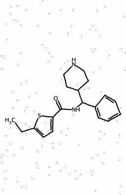 CCc1ccc(C(=O)NC(c2ccccc2)C2CCNCC2)s1